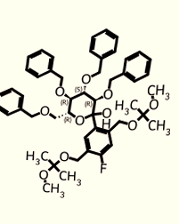 COC(C)(C)OCc1cc(C2(O)O[C@H](COCc3ccccc3)[C@@H](OCc3ccccc3)[C@H](OCc3ccccc3)[C@H]2OCc2ccccc2)c(COC(C)(C)OC)cc1F